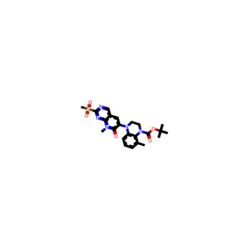 Cc1cccc2c1N(C(=O)OC(C)(C)C)CCN2c1cc2cnc(S(C)(=O)=O)nc2n(C)c1=O